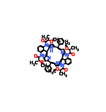 CO[C@H](C)C(=O)Nc1cccc(NC(=O)[C@@H](C)OC)c1-c1c2nc(c(-c3ccccc3)c3ccc([nH]3)c(-c3c(NC(=O)[C@@H](C)OC)cccc3NC(=O)[C@@H](C)OC)c3nc(c(-c4ccccc4)c4ccc1[nH]4)CC3)C=C2